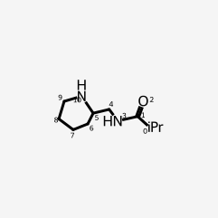 CC(C)C(=O)NCC1CCCCN1